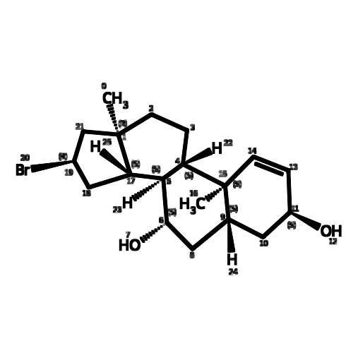 C[C@]12CC[C@H]3[C@@H]([C@@H](O)C[C@H]4C[C@H](O)C=C[C@@]43C)[C@@H]1C[C@@H](Br)C2